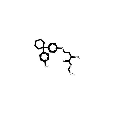 CCOC(=O)C(C)CCOc1ccc(C2(c3ccc(O)cc3)CCCCC2)cc1